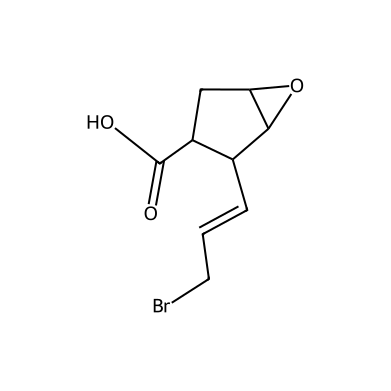 O=C(O)C1CC2OC2C1C=CCBr